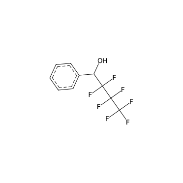 OC(c1ccccc1)C(F)(F)C(F)(F)C(F)(F)F